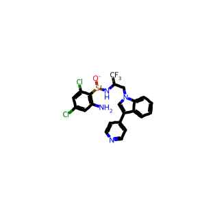 Nc1cc(Cl)cc(Cl)c1[S+]([O-])NC(Cn1cc(-c2ccncc2)c2ccccc21)C(F)(F)F